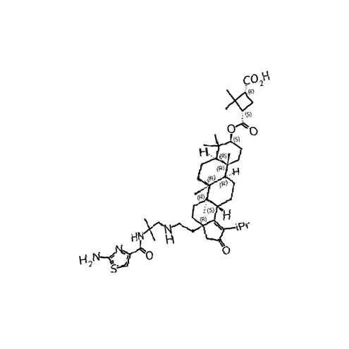 CC(C)C1=C2[C@H]3CC[C@@H]4[C@@]5(C)CC[C@H](OC(=O)[C@H]6C[C@@H](C(=O)O)C6(C)C)C(C)(C)[C@@H]5CC[C@@]4(C)[C@]3(C)CC[C@@]2(CCNCC(C)(C)NC(=O)c2csc(N)n2)CC1=O